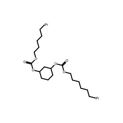 CC(C)CCCCCCOC(=O)OC1CCCC(OC(=O)OCCCCCC(C)C)C1